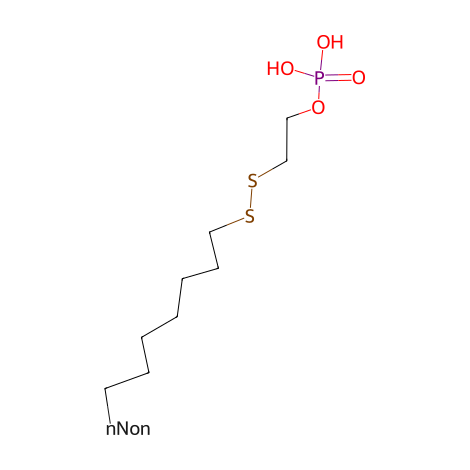 CCCCCCCCCCCCCCCCSSCCOP(=O)(O)O